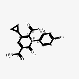 NC(=O)c1cc(C2CC2)c(C(N)=O)n(-c2ccc(F)cc2)c1=O